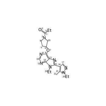 CCC(=O)N1CC[C@H](Oc2ncnc3c2nc(-c2cnn(CC)c2C)n3CC)C1